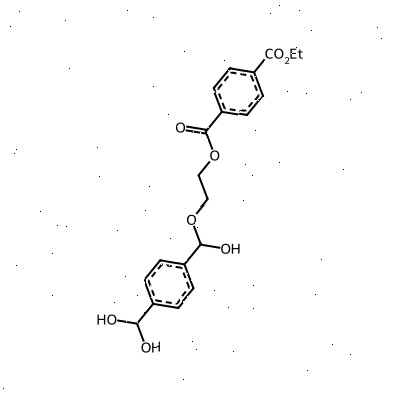 CCOC(=O)c1ccc(C(=O)OCCOC(O)c2ccc(C(O)O)cc2)cc1